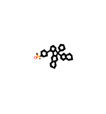 CP(C)(=O)c1ccc(-c2cccc3c2-c2cc4ccccc4cc2C3(c2ccccc2)c2ccc3ccccc3c2)cc1